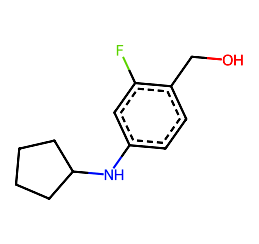 OCc1ccc(NC2CCCC2)cc1F